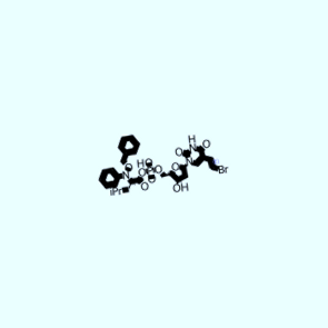 CC(C)C[C@@H](C(=O)OP(=O)(O)OC[C@H]1O[C@@H](n2cc(/C=C/Br)c(=O)[nH]c2=O)C[C@@H]1O)N(OCc1ccccc1)c1ccccc1